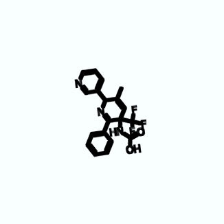 CC1=CC(NC(=O)O)(C(F)(F)F)C(c2ccccc2)=NC1c1cccnc1